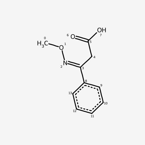 CON=C(CC(=O)O)c1ccccc1